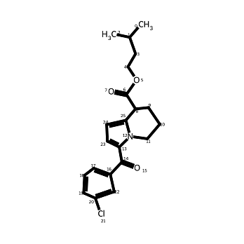 CC(C)CCOC(=O)C1CCCn2c(C(=O)c3cccc(Cl)c3)ccc21